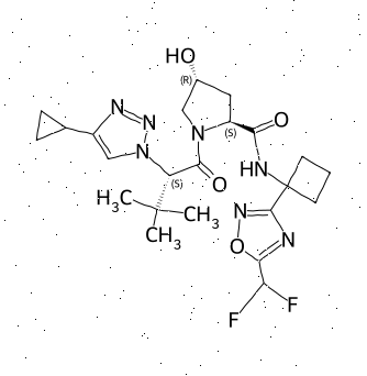 CC(C)(C)[C@@H](C(=O)N1C[C@H](O)C[C@H]1C(=O)NC1(c2noc(C(F)F)n2)CCC1)n1cc(C2CC2)nn1